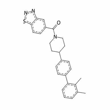 Cc1cccc(-c2ccc(C3CCN(C(=O)c4ccc5snnc5c4)CC3)cc2)c1C